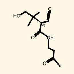 CC(=O)CCNC(=O)[C@H](C=O)C(C)(C)CO